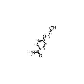 C#CCOc1ccc(C(N)=O)cc1